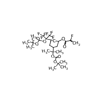 C=C(F)C(=O)OC1CC(C(C)(C)OC(=O)OC(C)(C)C)CC(C(OC(=O)OC(C)(C)C)(C(F)(F)F)C(F)(F)F)C1